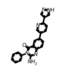 Nc1nc2ccc(-c3ccc(-c4cn[nH]c4)nc3)cc2c(=O)n1-c1ccccc1